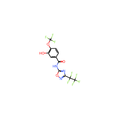 O=C(Nc1nc(C(F)(F)C(F)(F)F)no1)c1ccc(OC(F)(F)F)c(O)c1